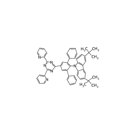 CC(C)(C)c1ccc2c(c1)c1cc(C(C)(C)C)ccc1n2-c1c(-c2ccccc2)cc(-c2nc(-c3ccccn3)nc(-c3ccccn3)n2)cc1-c1ccccc1